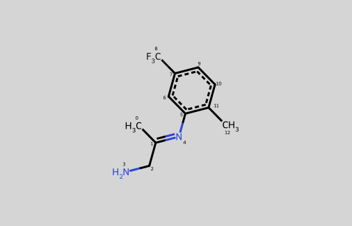 C/C(CN)=N\c1cc(C(F)(F)F)ccc1C